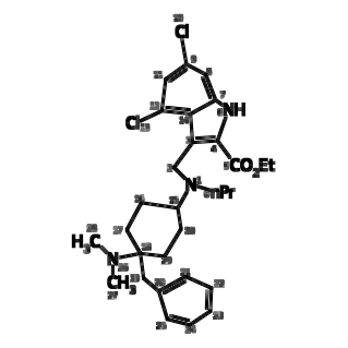 CCCN(Cc1c(C(=O)OCC)[nH]c2cc(Cl)cc(Cl)c12)C1CCC(Cc2ccccc2)(N(C)C)CC1